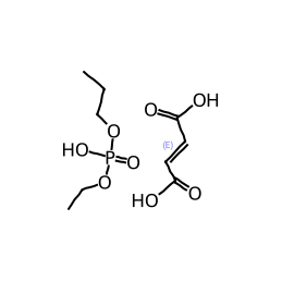 CCCOP(=O)(O)OCC.O=C(O)/C=C/C(=O)O